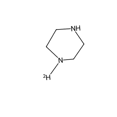 [2H]N1CCNCC1